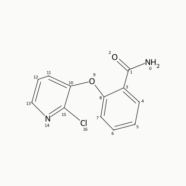 NC(=O)c1ccccc1Oc1cccnc1Cl